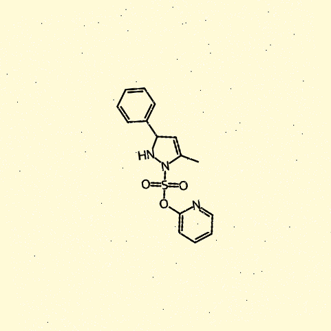 CC1=CC(c2ccccc2)NN1S(=O)(=O)Oc1ccccn1